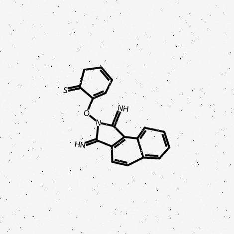 N=C1c2ccc3ccccc3c2C(=N)N1OC1=CC=CCC1=S